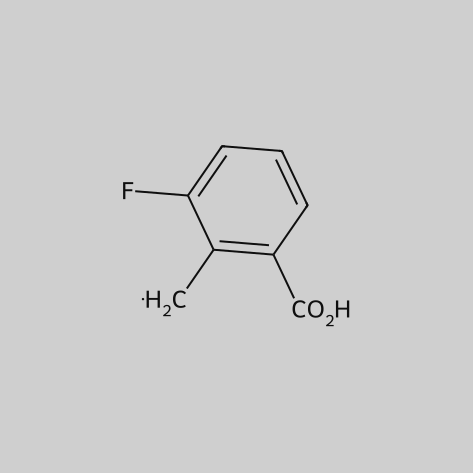 [CH2]c1c(F)cccc1C(=O)O